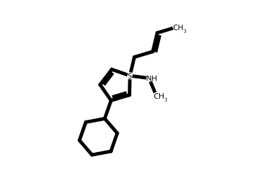 CC=CCS1(NC)C=CC(C2CCCCC2)=C1